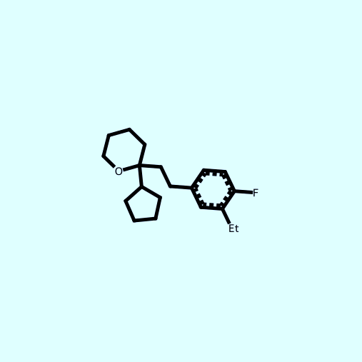 CCc1cc(CCC2(C3CCCC3)CCCCO2)ccc1F